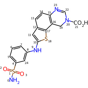 NS(=O)(=O)c1cccc(Nc2cc3ccc4c(c3s2)CN(C(=O)O)C=N4)c1